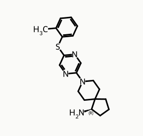 Cc1ccccc1Sc1cnc(N2CCC3(CCC[C@H]3N)CC2)cn1